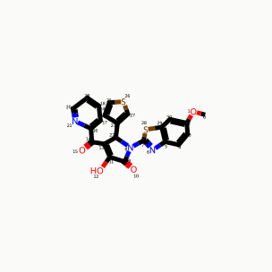 COc1ccc2nc(N3C(=O)C(O)=C(C(=O)c4ccccn4)C3c3ccsc3)sc2c1